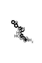 NS(=O)(=O)OCC1C[C@@H](Nc2ccnc3cc(-c4ccc5c(c4)oc4ccccc45)nn23)[C@H](O)[C@@H]1O